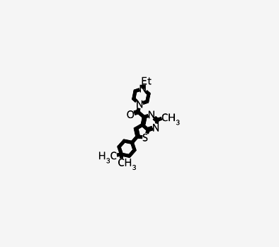 CCN1CCN(C(=O)c2nc(C)nc3sc(C4CCC(C)(C)CC4)cc23)CC1